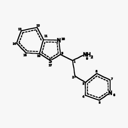 NC([CH]c1ccncc1)c1nc2ccccc2s1